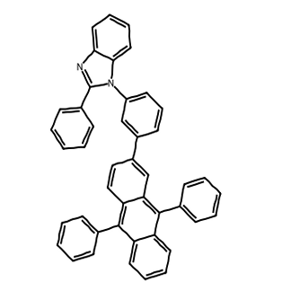 c1ccc(-c2c3ccccc3c(-c3ccccc3)c3cc(-c4cccc(-n5c(-c6ccccc6)nc6ccccc65)c4)ccc23)cc1